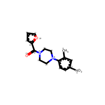 Cc1cc([N+](=O)[O-])ccc1N1CCN(C(=O)c2ccco2)CC1